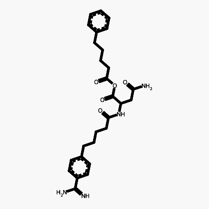 N=C(N)c1ccc(CCCCC(=O)NC(CC(N)=O)C(=O)OC(=O)CCCCc2ccccc2)cc1